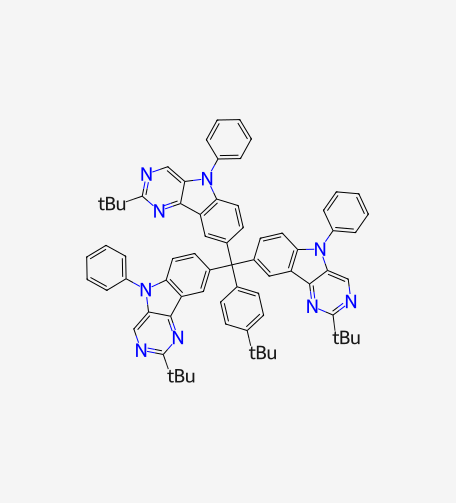 CC(C)(C)c1ccc(C(c2ccc3c(c2)c2nc(C(C)(C)C)ncc2n3-c2ccccc2)(c2ccc3c(c2)c2nc(C(C)(C)C)ncc2n3-c2ccccc2)c2ccc3c(c2)c2nc(C(C)(C)C)ncc2n3-c2ccccc2)cc1